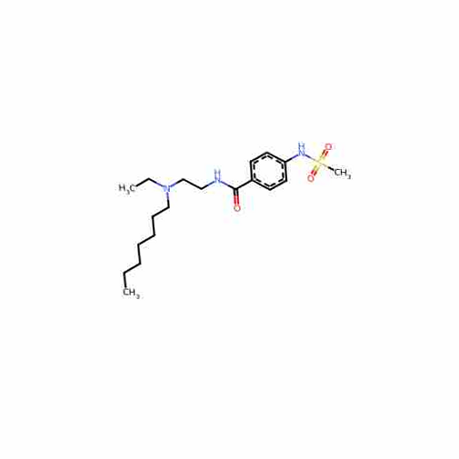 CCCCCCCN(CC)CCNC(=O)c1ccc(NS(C)(=O)=O)cc1